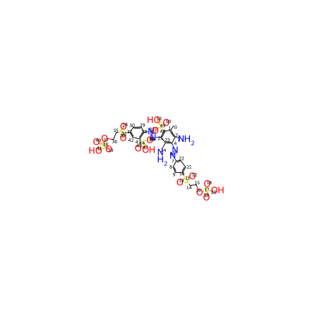 Cc1c(N)c(/N=N/c2ccc(S(=O)(=O)CCOS(=O)(=O)O)cc2)c(N)c(/N=N/c2ccc(S(=O)(=O)CCOS(=O)(=O)O)cc2S(=O)(=O)O)c1S(=O)(=O)O